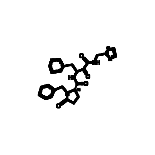 O=C(NCc1nccs1)C(=O)C(Cc1ccccc1)NC(=O)[C@@H]1CCC(=O)N1Cc1ccccc1